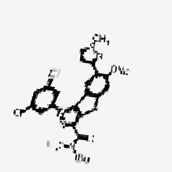 COc1cc2c(cc1-c1ccn(C)n1)-c1c(c(C(=O)N(C)C(C)(C)C)nn1-c1cc(Cl)cc(Cl)c1)C2